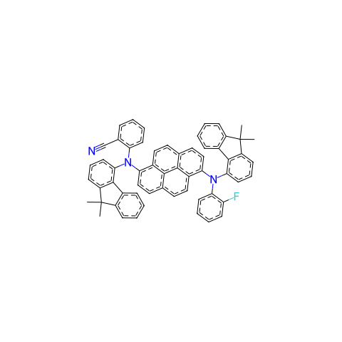 CC1(C)c2ccccc2-c2c(N(c3ccccc3F)c3ccc4ccc5c(N(c6ccccc6C#N)c6cccc7c6-c6ccccc6C7(C)C)ccc6ccc3c4c65)cccc21